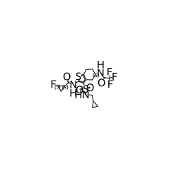 O=C(Nc1sc2c(c1S(=O)(=O)NCC1CC1)C[C@@H](NC(=O)C(F)(F)F)CC2)[C@H]1C[C@@H]1F